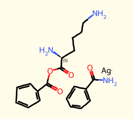 NC(=O)c1ccccc1.NCCCC[C@H](N)C(=O)OC(=O)c1ccccc1.[Ag]